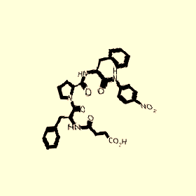 O=C(O)CCC(=O)N[C@@H](Cc1ccccc1)C(=O)N1CCC[C@H]1C(=O)N[C@@H](Cc1ccccc1)C(=O)Nc1ccc([N+](=O)[O-])cc1